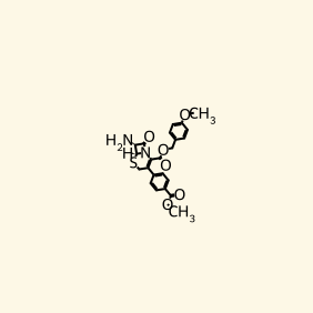 COC(=O)c1ccc(C2=C(C(=O)OCc3ccc(OC)cc3)N3C(=O)[C@@H](N)[C@@H]3SC2)cc1